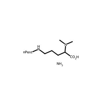 CCCCCNCCCC(C(=O)O)N(C)C.N